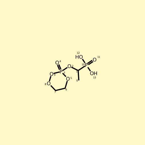 CC(OP1(=O)OCCOO1)P(=O)(O)O